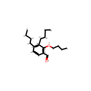 CCCCOc1c(C=O)ccc(CCCC)c1CCCC